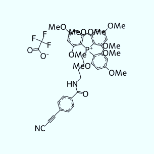 COc1cc(OC)c([P+](CCCCNC(=O)c2ccc(C#CC#N)cc2)(c2c(OC)cc(OC)cc2OC)c2c(OC)cc(OC)cc2OC)c(OC)c1.O=C([O-])C(F)(F)F